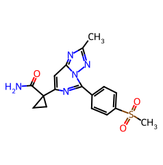 Cc1nc2cc(C3(C(N)=O)CC3)nc(-c3ccc(S(C)(=O)=O)cc3)n2n1